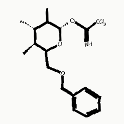 CC1[C@H](OC(=N)C(Cl)(Cl)Cl)OC(COCc2ccccc2)[C@@H](C)[C@@H]1C